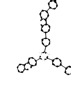 c1ccc(-c2ccc(-c3nc(-c4ccc(-c5ccc6c(c5)sc5ccc(-c7ccccc7)cc56)cc4)nc(-c4ccc5c(c4)sc4ccccc45)n3)cc2)cc1